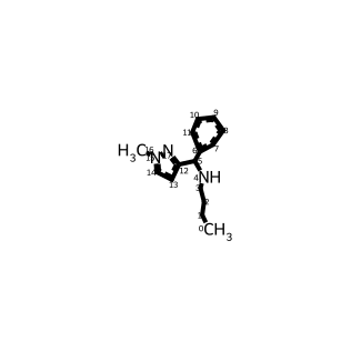 CCCCNC(c1ccccc1)c1ccn(C)n1